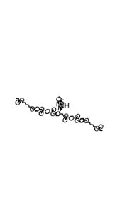 C=CC(=O)OCCCCCCOC1=CCC(OC(=O)[C@H]2CC[C@@H](C(=O)Oc3ccc(CCOC(=O)[C@H]4CC[C@@H](C(=O)Oc5ccc(OCCCCCCOC(=O)C=C)cc5)CC4)c(/C=N/Nc4nc5c(s4)C=CCC5)c3)CC2)C=C1